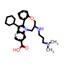 CN(C)CCCNC1COc2ccccc2-c2c(C3CCCCC3)c3ccc(C(=O)O)cc3n2C1